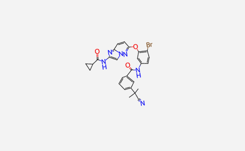 CC(C)(C#N)c1cccc(C(=O)Nc2ccc(Br)c(Oc3ccc4nc(NC(=O)C5CC5)cn4n3)c2)c1